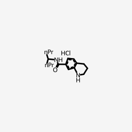 CCCC(CCC)NC(=O)c1ccc2c(c1)NCCC2.Cl